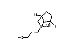 O=C(O)N1[C@@H]2CC[C@H]1CN(CCCO)C2